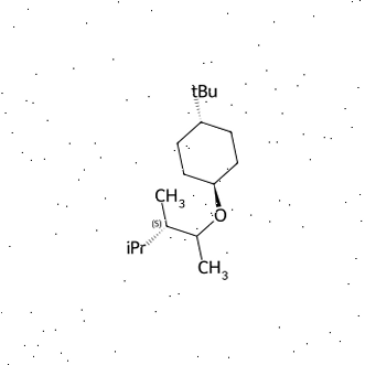 CC(C)[C@H](C)C(C)O[C@H]1CC[C@H](C(C)(C)C)CC1